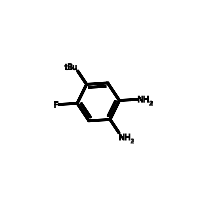 CC(C)(C)c1cc(N)c(N)cc1F